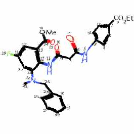 CCOC(=O)c1ccc(NC(=O)CC(=O)Nc2c(C(=O)OC)cc(F)cc2N(C)Cc2ccccc2)cc1